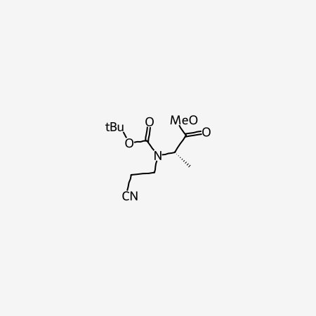 COC(=O)[C@H](C)N(CCC#N)C(=O)OC(C)(C)C